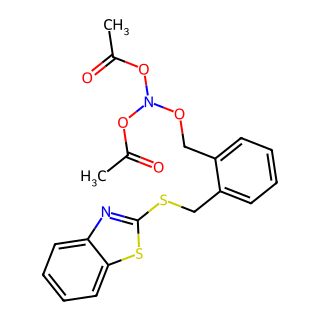 CC(=O)ON(OCc1ccccc1CSc1nc2ccccc2s1)OC(C)=O